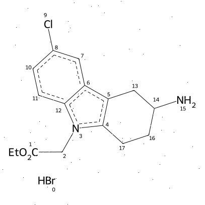 Br.CCOC(=O)Cn1c2c(c3cc(Cl)ccc31)CC(N)CC2